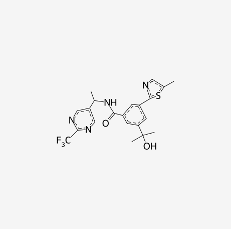 Cc1cnc(-c2cc(C(=O)NC(C)c3cnc(C(F)(F)F)nc3)cc(C(C)(C)O)c2)s1